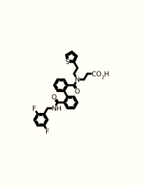 O=C(O)CCN(CCc1cccs1)C(=O)c1ccccc1-c1ccccc1C(=O)NCc1cc(F)ccc1F